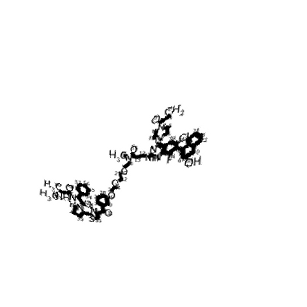 C=CC(=O)N1CCN(c2nc(NCCC(=O)N(C)CCOCCOCCOc3cccc(C(=O)c4csc(C5CCCN5C(=O)[C@@H](NC(=O)[C@H](C)NC)C5CCCCC5)n4)c3)nc3c(F)c(-c4cc(O)cc5ccccc45)c(Cl)cc23)CC1